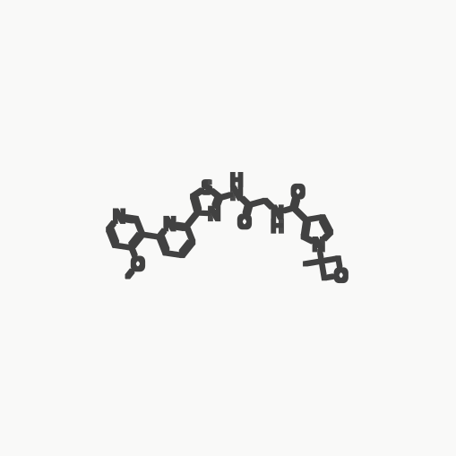 COc1ccncc1-c1cccc(-c2csc(NC(=O)CNC(=O)c3ccn(C4(C)COC4)c3)n2)n1